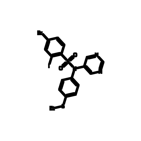 CCSc1ccc(N(c2cncnc2)S(=O)(=O)c2ccc(Br)cc2I)cc1